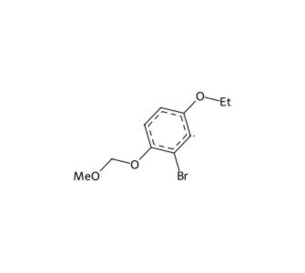 CCOc1[c]c(Br)c(OCOC)cc1